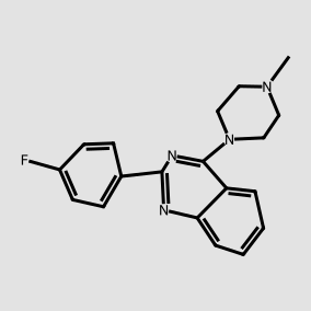 CN1CCN(c2nc(-c3ccc(F)cc3)nc3ccccc23)CC1